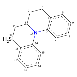 c1ccc2c(c1)CCC1C[SiH2]c3ccccc3N21